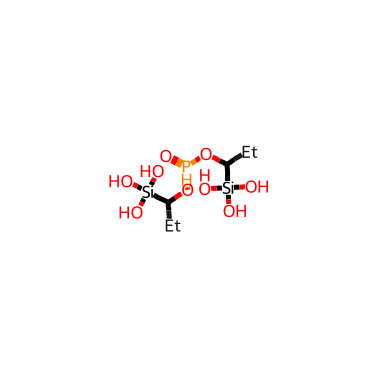 CCC(O[PH](=O)OC(CC)[Si](O)(O)O)[Si](O)(O)O